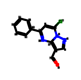 O=Cc1cnn2c(Cl)cc(-c3ccccc3)nc12